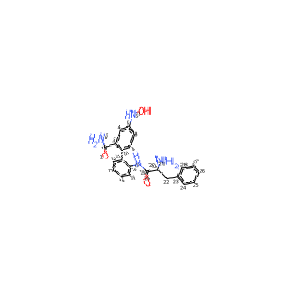 NC(=O)c1cc(NO)ccc1-c1ccccc1NC(=O)C(N)Cc1ccccc1